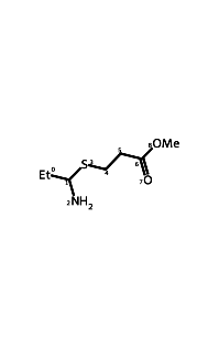 CCC(N)SCCC(=O)OC